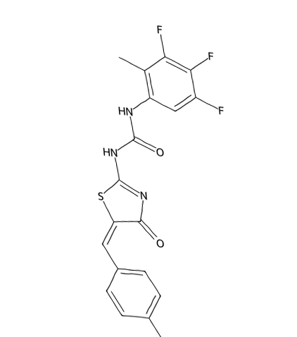 Cc1ccc(C=C2SC(NC(=O)Nc3cc(F)c(F)c(F)c3C)=NC2=O)cc1